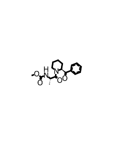 COC(=O)N[C@@H](C)C(=O)N1CCCC[C@H]1C(=O)c1ccccc1